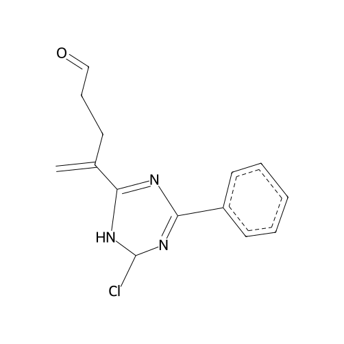 C=C(CCC=O)C1=NC(c2ccccc2)=NC(Cl)N1